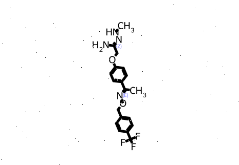 CN/N=C(\N)COc1ccc(/C(C)=N/OCc2ccc(C(F)(F)F)cc2)cc1